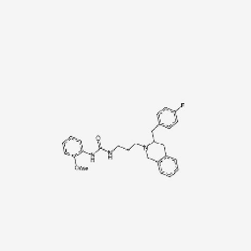 COc1ccccc1NC(=O)NCCCN1Cc2ccccc2CC1Cc1ccc(F)cc1